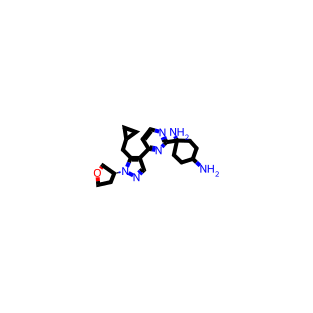 NC1CCC(N)(c2nccc(-c3cnn([C@@H]4CCOC4)c3CC3CC3)n2)CC1